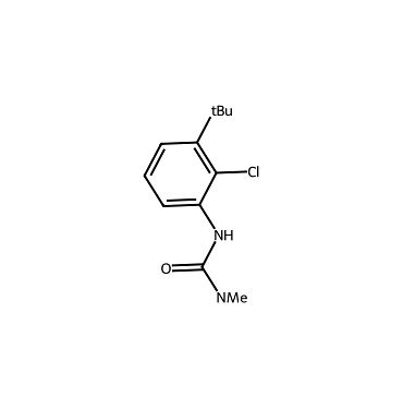 CNC(=O)Nc1cccc(C(C)(C)C)c1Cl